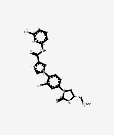 CC(=O)NC[C@H]1CN(c2ccc(-n3cnc(C(=O)Nc4cccc(N)n4)c3)c(F)c2)C(=O)O1